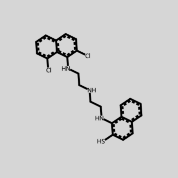 Sc1ccc2ccccc2c1NCCNCCNc1c(Cl)ccc2cccc(Cl)c12